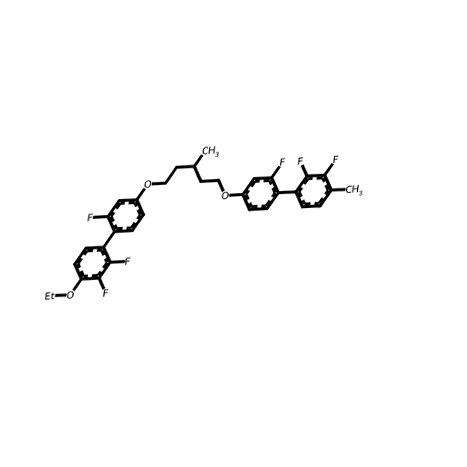 CCOc1ccc(-c2ccc(OCCC(C)CCOc3ccc(-c4ccc(C)c(F)c4F)c(F)c3)cc2F)c(F)c1F